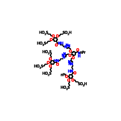 CCCNC(=O)c1cc(OCc2cn(CCCNC(=O)c3cc(OCCC)c(OCCCS(=O)(=O)O)c(OCCCS(=O)(=O)O)c3)nn2)c(OCc2cn(CCCNC(=O)c3cc(OCCCS(=O)(=O)O)c(OCCCS(=O)(=O)O)c(OCCCS(=O)(=O)O)c3)nn2)c(OCc2cn(CCCNC(=O)c3cc(OCCCS(=O)(=O)O)c(OCCCS(=O)(=O)O)c(OCCCS(=O)(=O)O)c3)nn2)c1